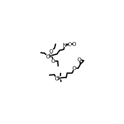 CCO[Si](C)(C)CCCOCC1CO1.CCO[Si](CCCN=C=O)(OCC)OCC